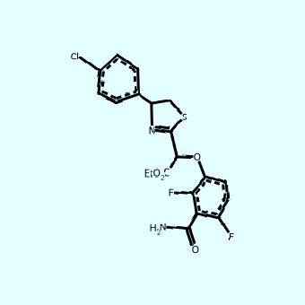 CCOC(=O)C(Oc1ccc(F)c(C(N)=O)c1F)C1=NC(c2ccc(Cl)cc2)CS1